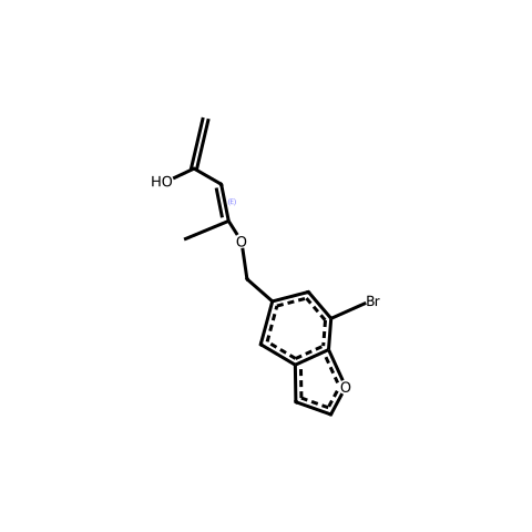 C=C(O)/C=C(\C)OCc1cc(Br)c2occc2c1